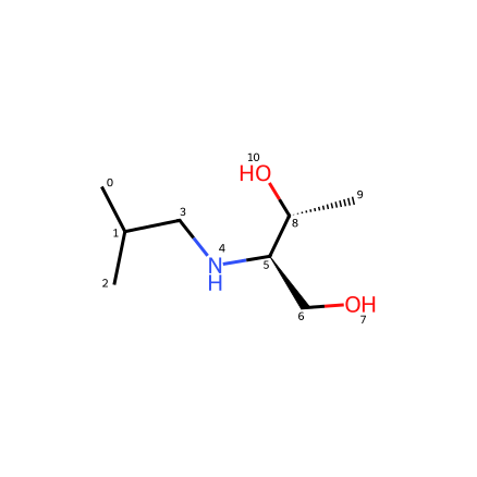 CC(C)CN[C@H](CO)[C@@H](C)O